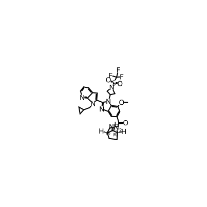 COc1cc(C(=O)N2C[C@H]3CC[C@@H]2[C@@H]3N)cc2nc(-c3cc4cccnc4n3CC3CC3)n(C3CN(S(=O)(=O)C(F)(F)F)C3)c12